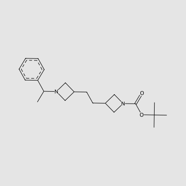 CC(c1ccccc1)N1CC(CCC2CN(C(=O)OC(C)(C)C)C2)C1